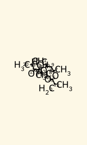 C=C(C)C(=O)OC(C)(C)CC(C)OC(C)(C)C(=O)C(=C)C